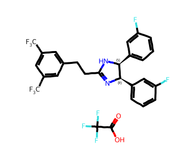 Fc1cccc([C@H]2N=C(CCc3cc(C(F)(F)F)cc(C(F)(F)F)c3)N[C@H]2c2cccc(F)c2)c1.O=C(O)C(F)(F)F